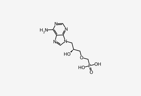 Nc1ncnc2c1ncn2C[C@H](O)COCP(=O)(O)O